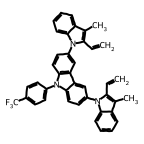 C=Cc1c(C)c2ccccc2n1-c1ccc2c(c1)c1cc(-n3c(C=C)c(C)c4ccccc43)ccc1n2-c1ccc(C(F)(F)F)cc1